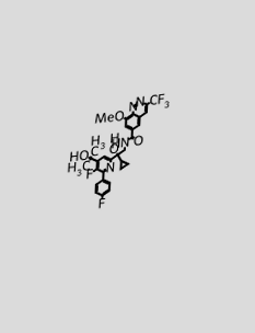 COc1cc(C(=O)NCC(O)(c2cc(C(C)(C)O)c(F)c(-c3ccc(F)cc3)n2)C2CC2)cc2cc(C(F)(F)F)nnc12